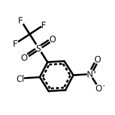 O=[N+]([O-])c1ccc(Cl)c(S(=O)(=O)C(F)(F)F)c1